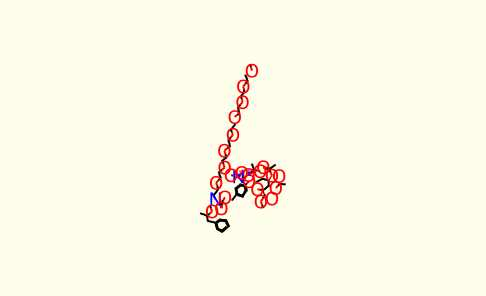 COCCOCCOCCOCCOCCOCCOCCOCCN(COC(C)Cc1ccccc1)C(=O)OCc1ccc(O[C@@H]2O[C@H](C(=O)OC)[C@@H](OC(C)=O)[C@H](OC(C)=O)[C@H]2OC(C)=O)c([N+](=O)[O-])c1